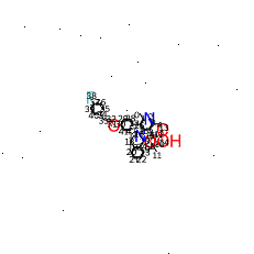 Cc1nc(C)c([C@H](OC(C)(C)C)C(=O)O)c(N2CCc3ccccc3C2)c1-c1ccc(OCCc2ccc(F)cc2)cc1